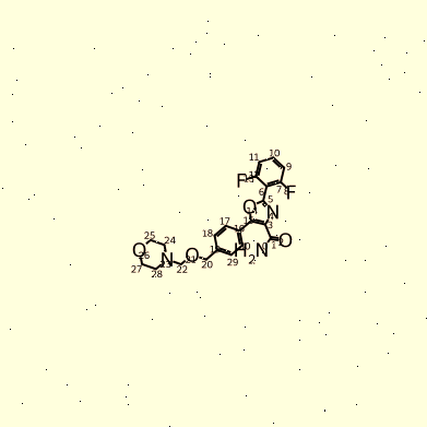 NC(=O)c1nc(-c2c(F)cccc2F)oc1-c1ccc(COCN2CCOCC2)cc1